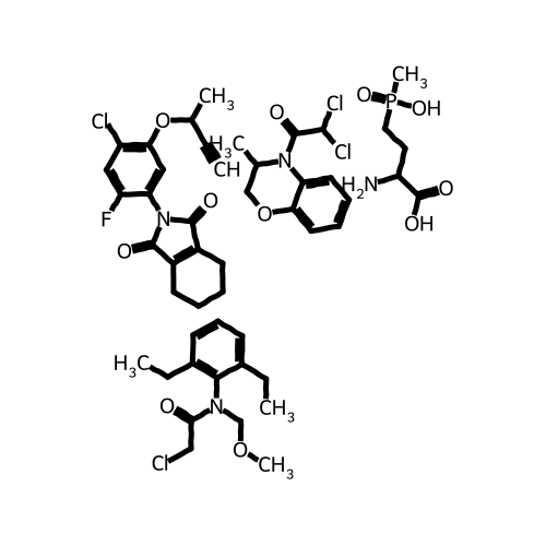 C#CC(C)Oc1cc(N2C(=O)C3=C(CCCC3)C2=O)c(F)cc1Cl.CC1COc2ccccc2N1C(=O)C(Cl)Cl.CCc1cccc(CC)c1N(COC)C(=O)CCl.CP(=O)(O)CCC(N)C(=O)O